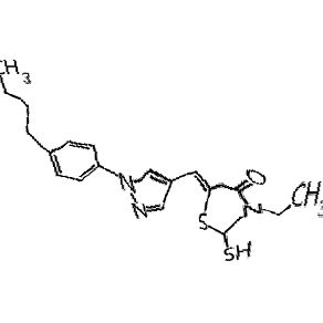 CCCCc1ccc(-n2cc(/C=C3\SC(S)N(CC)C3=O)cn2)cc1